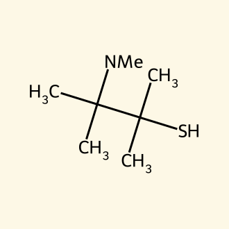 CNC(C)(C)C(C)(C)S